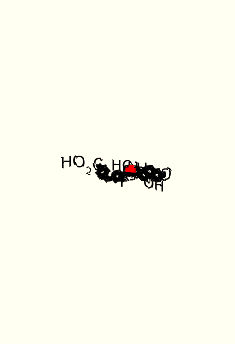 C[C@]12C=CC(=O)C=C1CC[C@@H]1C2[C@@H](O)C[C@@]2(C)C1C[C@H]1O[C@H](c3ccc(Cc4ccc(C(=O)O)cc4)cc3F)O[C@]12C(=O)CO